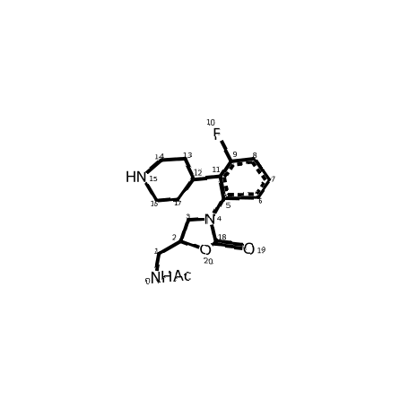 CC(=O)NCC1CN(c2cccc(F)c2C2CCNCC2)C(=O)O1